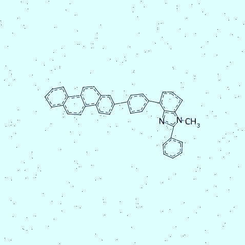 Cn1c(-c2ccccc2)nc2c(-c3ccc(-c4ccc5c(ccc6c7ccccc7ccc56)c4)cc3)cccc21